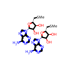 CSC[C@H]1O[C@@H](n2cnc3c(N)ncnc32)[C@H](O)[C@@H]1O.CSC[C@H]1O[C@@H](n2cnc3c(N)ncnc32)[C@H](O)[C@@H]1O